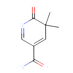 CC1(C)C=C(C(N)=O)C=NC1=O